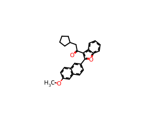 COc1ccc2cc(-c3oc4ccccc4c3C(=O)CC3CCCC3)ccc2c1